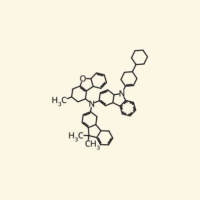 CC1CC2=C(C3C=CC=CC3O2)C(N(C2=CC3c4ccccc4N(C4=CCC(C5CCCCC5)CC4)C3C=C2)C2=CC=C3C(C2)C2CC=CC=C2C3(C)C)C1